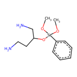 CO[Si](OC)(OC(CN)CCN)c1ccccc1